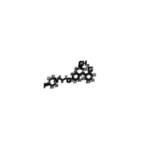 CN1Cc2cc(OCCCN3CCC(F)CC3)ccc2C(c2ccccc2Cl)C1